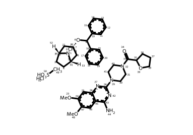 CN1[C@@H]2CC[C@H]1C[C@@H](OC(c1ccccc1)c1ccccc1)C2.COc1cc2nc(N3CCN(C(=O)C4CCCO4)CC3)nc(N)c2cc1OC.CS(=O)(=O)O.Cl